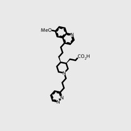 COc1ccc2nccc(CCC[C@@H]3CCN(CCCc4cccnn4)C[C@@H]3CCC(=O)O)c2c1